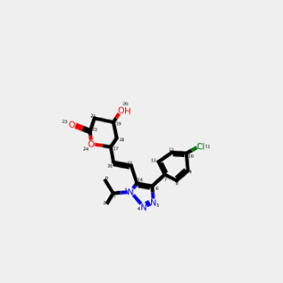 CC(C)n1nnc(-c2ccc(Cl)cc2)c1C=CC1CC(O)CC(=O)O1